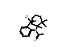 CC(=O)N(c1ccccc1C(=O)O)C1(C)CCCCC1(C)C